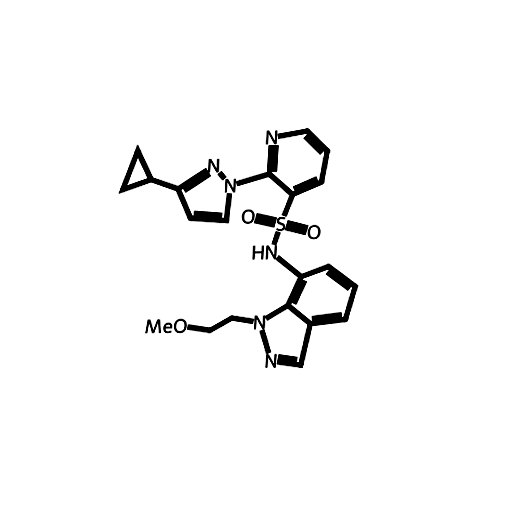 COCCn1ncc2cccc(NS(=O)(=O)c3cccnc3-n3ccc(C4CC4)n3)c21